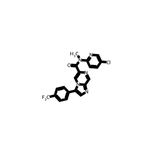 CN(C(=O)c1cn2c(-c3ccc(C(F)(F)F)cc3)cnc2cn1)c1ccc(Cl)cn1